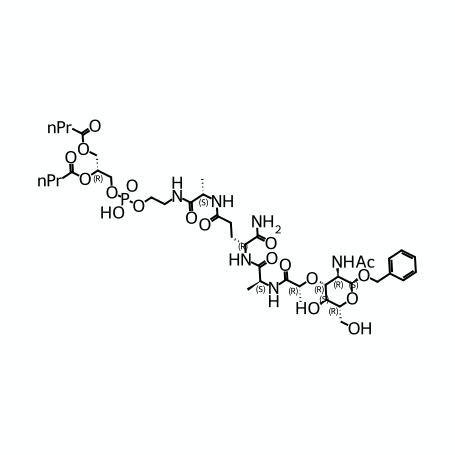 CCCC(=O)OC[C@H](COP(=O)(O)OCCNC(=O)[C@H](C)NC(=O)CC[C@@H](NC(=O)[C@H](C)NC(=O)[C@@H](C)O[C@H]1[C@H](O)[C@@H](CO)O[C@H](OCc2ccccc2)[C@@H]1NC(C)=O)C(N)=O)OC(=O)CCC